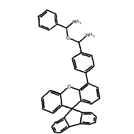 NC(OC(N)c1ccc(-c2cccc3c2Oc2ccccc2C32c3ccccc3-c3ccccc32)cc1)c1ccccc1